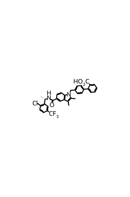 Cc1c(C)n(Cc2ccc(-c3ccccc3C(=O)O)cc2)c2ccc(C(=O)N[C@@H](C)c3cc(C(F)(F)F)ccc3Cl)cc12